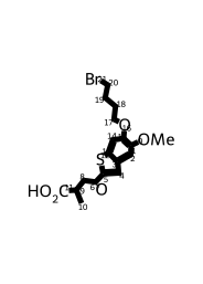 COc1cc2cc(C(=O)CC(C)C(=O)O)sc2cc1OCCCCBr